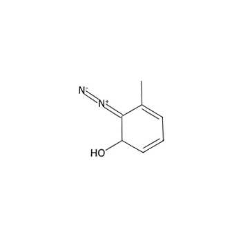 CC1=CC=CC(O)C1=[N+]=[N-]